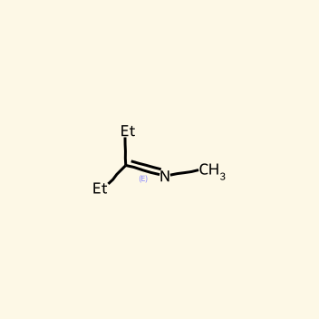 [CH2]C/C(CC)=N\C